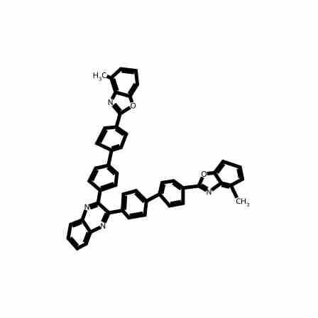 Cc1cccc2oc(-c3ccc(-c4ccc(-c5nc6ccccc6nc5-c5ccc(-c6ccc(-c7nc8c(C)cccc8o7)cc6)cc5)cc4)cc3)nc12